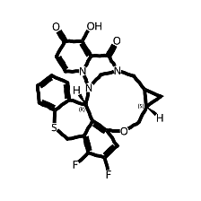 O=C1c2c(O)c(=O)ccn2N2CN1CC1C[C@@H]1COc1cc(F)c(F)c3c1[C@@H]2c1ccccc1SC3